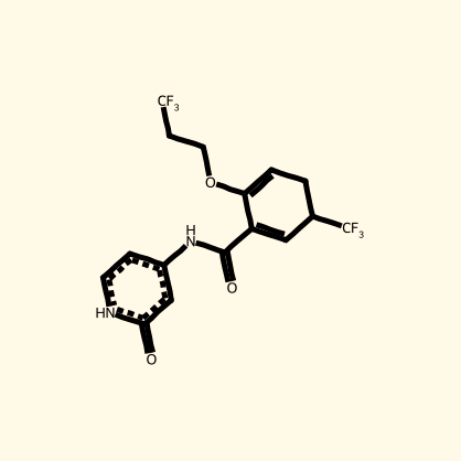 O=C(Nc1cc[nH]c(=O)c1)C1=CC(C(F)(F)F)CC=C1OCCC(F)(F)F